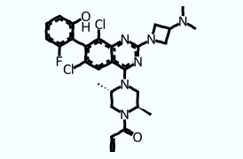 C=CC(=O)N1C[C@H](C)N(c2nc(N3CC(N(C)C)C3)nc3c(Cl)c(-c4c(O)cccc4F)c(Cl)cc23)C[C@H]1C